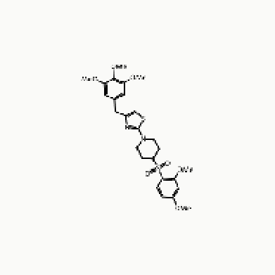 COc1ccc(S(=O)(=O)C2CCN(c3nc(Cc4cc(OC)c(OC)c(OC)c4)cs3)CC2)c(OC)c1